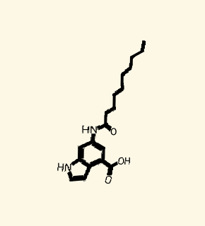 CCCCCCCCCC(=O)Nc1cc(C(=O)O)c2cc[nH]c2c1